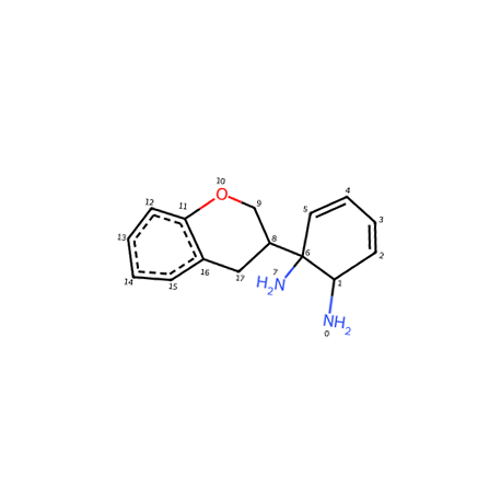 NC1C=CC=CC1(N)C1COc2ccccc2C1